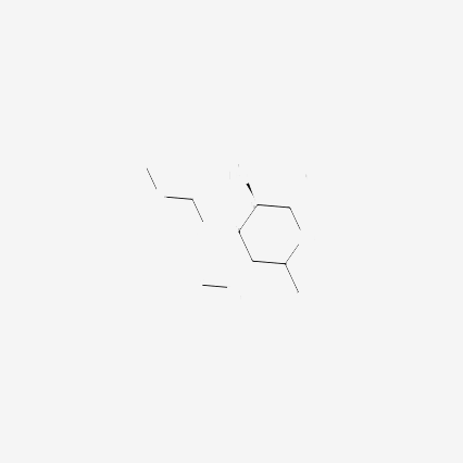 COCO[C@@H]1[C@@H](O)[C@H](C)OC(C)[C@@H]1OC